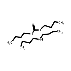 CCCCNCCCC.CCCCOC(=O)OCCCC